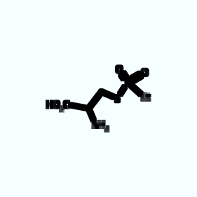 CCS(=O)(=O)SCC(N)C(=O)O